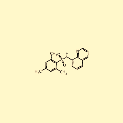 Cc1cc(C)c(S(=O)(=O)Nc2cccc3cccnc23)c(C)c1